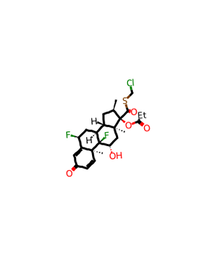 CCC(=O)O[C@]1(C(=O)SCCl)[C@H](C)C[C@H]2[C@@H]3C[C@H](F)C4=CC(=O)C=C[C@]4(C)[C@@]3(F)[C@@H](O)C[C@@]21C